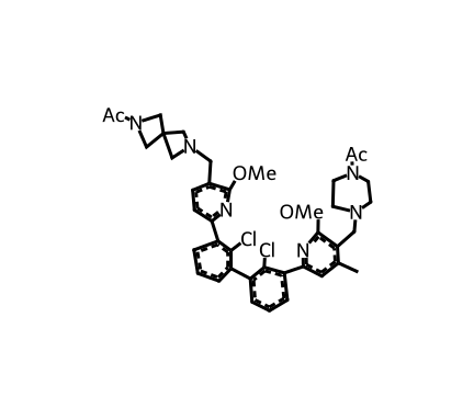 COc1nc(-c2cccc(-c3cccc(-c4cc(C)c(CN5CCN(C(C)=O)CC5)c(OC)n4)c3Cl)c2Cl)ccc1CN1CC2(C1)CN(C(C)=O)C2